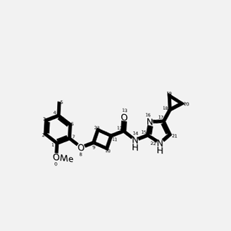 COc1ccc(C)cc1OC1CC(C(=O)Nc2nc(C3CC3)c[nH]2)C1